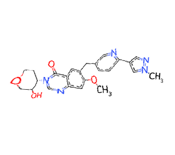 COc1cc2ncn([C@H]3CCOC[C@@H]3O)c(=O)c2cc1Cc1ccc(-c2cnn(C)c2)nc1